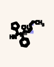 C/C=C\C=C/[C@H](C)N(C(=N)C1=CCCC1)c1ccccc1